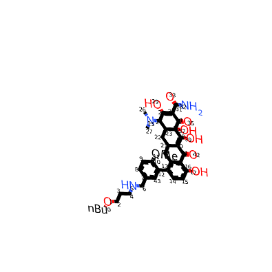 CCCCOCCCNCc1ccc(OC)c(-c2ccc(O)c3c2CC2CC4C(N(C)C)C(O)=C(C(N)=O)C(=O)C4(O)C(O)=C2C3=O)c1